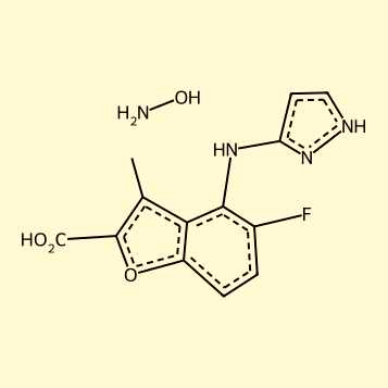 Cc1c(C(=O)O)oc2ccc(F)c(Nc3cc[nH]n3)c12.NO